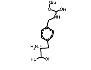 CC(C)(C)OC(O)NCc1ccc(C[C@@H](N)C(O)O)cc1